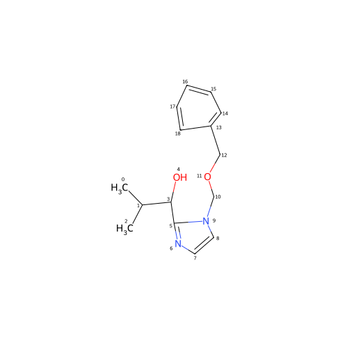 CC(C)C(O)c1nccn1COCc1ccccc1